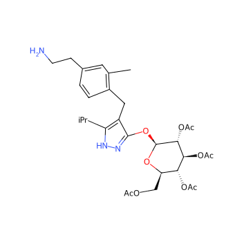 CC(=O)OC[C@H]1O[C@@H](Oc2n[nH]c(C(C)C)c2Cc2ccc(CCN)cc2C)[C@H](OC(C)=O)[C@@H](OC(C)=O)[C@@H]1OC(C)=O